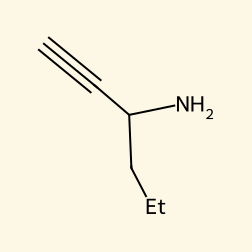 C#CC(N)CCC